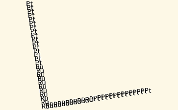 [Pt].[Pt].[Pt].[Pt].[Pt].[Pt].[Pt].[Pt].[Pt].[Pt].[Pt].[Pt].[Pt].[Pt].[Pt].[Pt].[Pt].[Pt].[Pt].[Pt].[Pt].[Pt].[Pt].[Pt].[Pt].[Pt].[Pt].[Pt].[Pt].[Pt].[Pt].[Ru].[Ru].[Ru].[Ru].[Ru].[Ru].[Ru].[Ru].[Ru].[Ru].[Ru].[Ru].[Ru].[Ru].[Ru].[Ru].[Ru].[Ru].[Ru].[Ru].[Ru].[Ru]